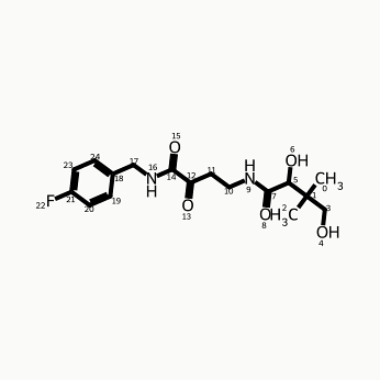 CC(C)(CO)C(O)C(=O)NCCC(=O)C(=O)NCc1ccc(F)cc1